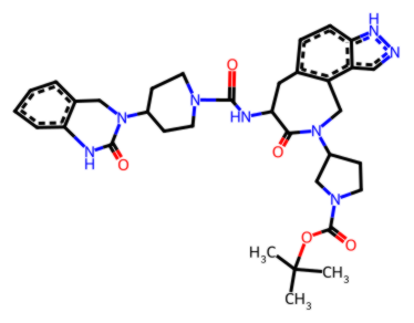 CC(C)(C)OC(=O)N1CCC(N2Cc3c(ccc4[nH]ncc34)CC(NC(=O)N3CCC(N4Cc5ccccc5NC4=O)CC3)C2=O)C1